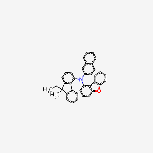 CCC1(C)c2ccccc2-c2c(N(c3ccc4ccccc4c3)c3cccc4oc5ccccc5c34)cccc21